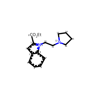 CCOC(=O)c1cc2ccccc2n1CCN1CCCC1